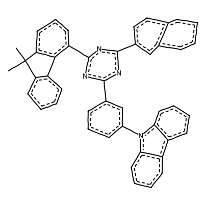 CC1(C)c2ccccc2-c2c(-c3nc(-c4cccc(-n5c6ccccc6c6ccccc65)c4)nc(-c4ccc5ccccc5c4)n3)cccc21